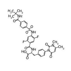 Cc1cc(=O)n(-c2ccc(C[C@H](NC(=O)c3cc(F)c(NS(=O)(=O)c4ccc(C(=O)NC(C)(C)C)cc4)cc3F)C(=O)O)cc2)c(=O)n1C